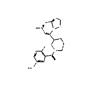 COc1ccc(F)c(C(=O)N2CCCC(C3=CC(C)=NC4=NCNN34)C2)c1